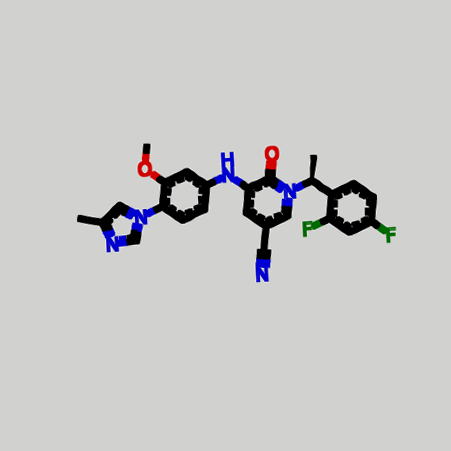 COc1cc(Nc2cc(C#N)cn([C@@H](C)c3ccc(F)cc3F)c2=O)ccc1-n1cnc(C)c1